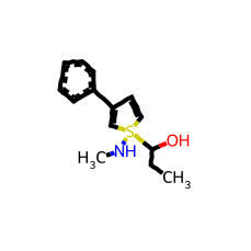 CCC(O)S1(NC)C=CC(c2ccccc2)=C1